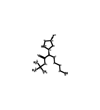 CC(C)(C)OC(=O)C(OCCCO)[C@@H]1C[C@H](F)CN1